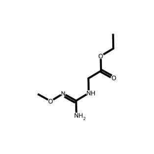 CCOC(=O)CNC(N)=NOC